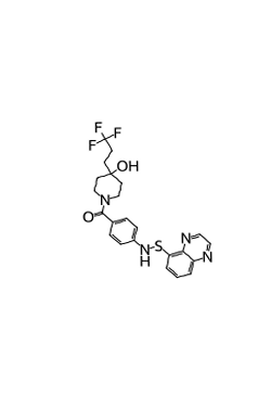 O=C(c1ccc(NSc2cccc3nccnc23)cc1)N1CCC(O)(CCC(F)(F)F)CC1